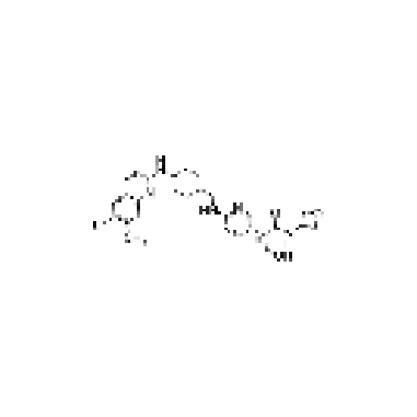 Cc1cc2nc(NC3CCC(CNc4ncc([C@H](CO)C(=O)NC5COC5)cn4)CC3)ccc2cc1Cl